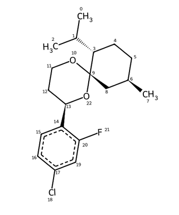 CC(C)[C@@H]1CC[C@@H](C)C[C@@]12OCC[C@H](c1ccc(Cl)cc1F)O2